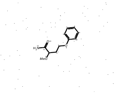 COC(CCOc1ccccc1)C(N)=O